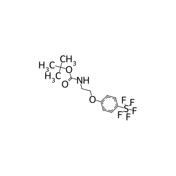 CC(C)(C)OC(=O)NCCOc1ccc(S(F)(F)(F)(F)F)cc1